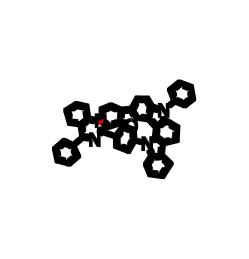 c1ccc(-c2nc(-c3ccc(-n4c5ccccc5c5ccc6c(c7c8oc9ccccc9c8ccc7n6-c6ccccc6)c54)cc3)nc3ccccc23)cc1